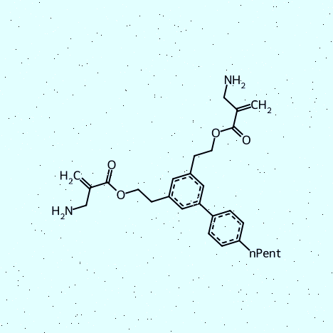 C=C(CN)C(=O)OCCc1cc(CCOC(=O)C(=C)CN)cc(-c2ccc(CCCCC)cc2)c1